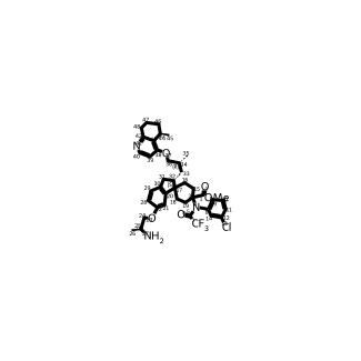 COC(=O)C1(N(C(=O)C(F)(F)F)c2cccc(Cl)c2)CCC2(CC1)c1cc(OC[C@H](C)N)ccc1C[C@@H]2C[C@@H](C)COc1ccnc2c1[C@H](C)CCC2